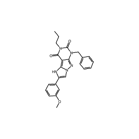 CCCn1c(=O)c2c(nn3cc(-c4cccc(OC)c4)[nH]c23)n(Cc2ccccc2)c1=O